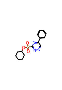 O=S(=O)(OC1CCCCC1)c1nncc(-c2ccccc2)n1